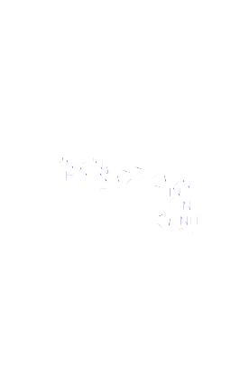 COC(=O)N[C@H](C(=O)N1CCC[C@H]1c1ncc(-c2ccc3cc(-c4ccc(-c5cnc([C@@H]6CCCN6C(=O)[C@H](NC(=O)OC)c6ccc(C)cc6)[nH]5)cc4)ccc3c2)[nH]1)C(C)C